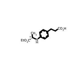 CCOC(=O)[C@H](C)Nc1ccc(CCC(=O)O)cc1